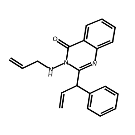 C=CCNn1c(C(C=C)c2ccccc2)nc2ccccc2c1=O